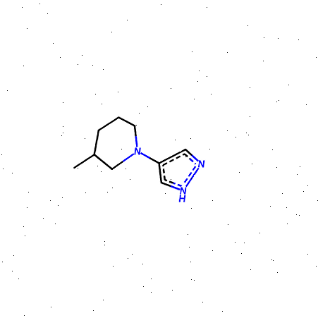 CC1CCCN(c2cn[nH]c2)C1